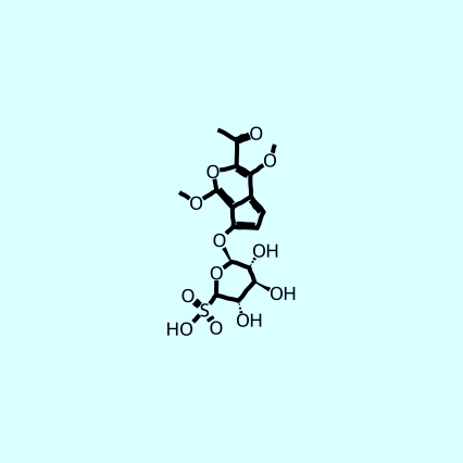 COc1oc(C(C)=O)c(OC)c2ccc(O[C@@H]3OC(S(=O)(=O)O)[C@@H](O)[C@H](O)[C@H]3O)c1-2